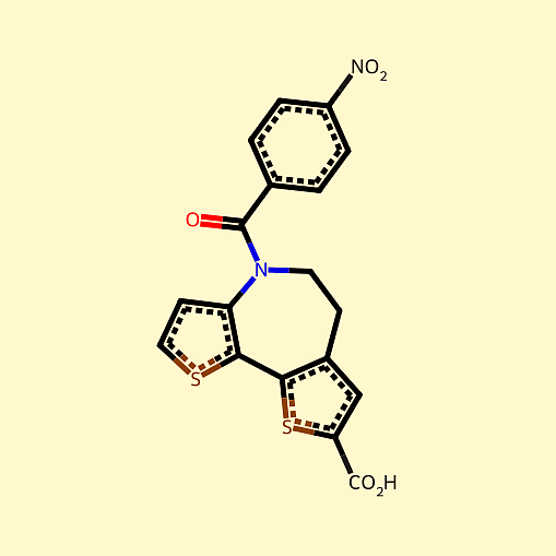 O=C(O)c1cc2c(s1)-c1sccc1N(C(=O)c1ccc([N+](=O)[O-])cc1)CC2